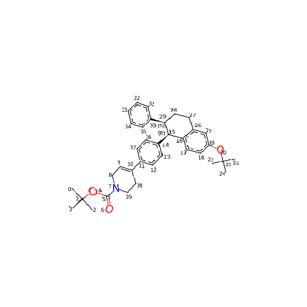 CC(C)(C)OC(=O)N1CC=C(c2ccc([C@@H]3c4ccc(OC(C)(C)C)cc4CC[C@@H]3c3ccccc3)cc2)CC1